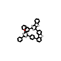 c1ccc(-c2nc(-c3ccccc3)nc(-c3ccc(-c4cccc5oc6ccc(-c7nc(-c8ccccc8)nc8c7oc7ccccc78)cc6c45)cc3)n2)cc1